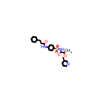 CC(OCc1cccnc1)C(=O)NS(=O)(=O)c1ccc(NC(=O)CCc2ccccc2)cc1